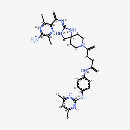 C=C(CCC(=C)N1CCC2(CC1)CN/C(=N\C(=C)c1nc(C)c(N)nc1C)N2)Nc1ccc(Nc2nc(C)cc(C)n2)cc1